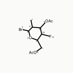 CC(=O)OCC1OC(Br)C(C)C(OC(C)=O)C1F